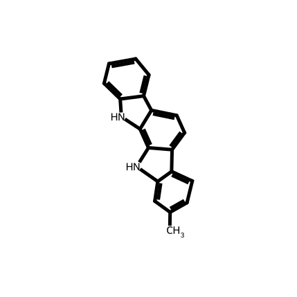 Cc1ccc2c(c1)[nH]c1c2ccc2c3ccccc3[nH]c21